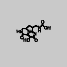 O=C(O)NCC1CC2CNC(=O)c3c(O)c(=O)nc1n32